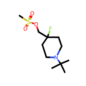 CC(C)(C)N1CCC(F)(COS(C)(=O)=O)CC1